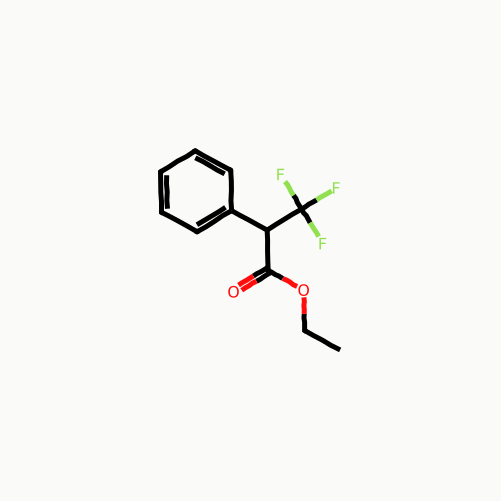 CCOC(=O)C(c1ccccc1)C(F)(F)F